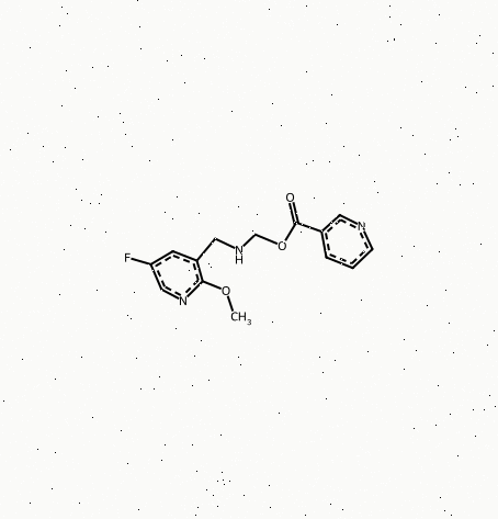 COc1ncc(F)cc1CNCOC(=O)c1cccnc1